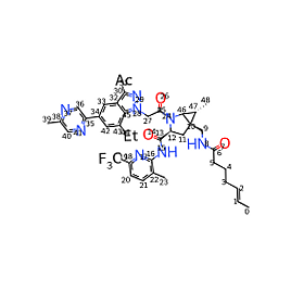 C/C=C/CCCC(=O)NC[C@@]12C[C@@H](C(=O)Nc3nc(C(F)(F)F)ccc3C)N(C(=O)Cn3nc(C(C)=O)c4cc(-c5cnc(C)cn5)cc(CC)c43)C1[C@@H]2C